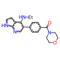 CCNc1c(-c2ccc(C(=O)N3CCOCC3)cc2)cnc2[nH]ccc12